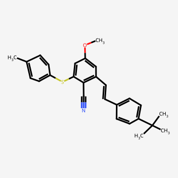 COc1cc(/C=C/c2ccc(C(C)(C)C)cc2)c(C#N)c(Sc2ccc(C)cc2)c1